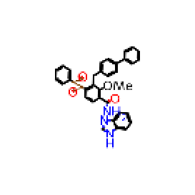 COc1c(C(N)=O)ccc(S(=O)(=O)c2ccccc2)c1Cc1ccc(-c2ccccc2)cc1.c1ccc2[nH]cnc2c1